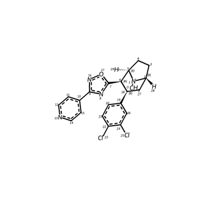 CN1[C@@H]2CC[C@@H]1[C@H](c1nc(-c3ccncc3)no1)[C@H](c1ccc(Cl)c(Cl)c1)C2